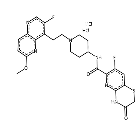 COc1ccc2ncc(F)c(CCN3CCC(NC(=O)c4nc5c(cc4F)SCC(=O)N5)CC3)c2n1.Cl.Cl